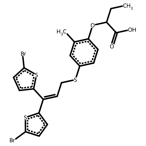 CCC(Oc1ccc(SCC=C(c2ccc(Br)s2)c2ccc(Br)s2)cc1C)C(=O)O